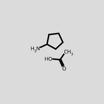 CC(=O)O.NC1CCCC1